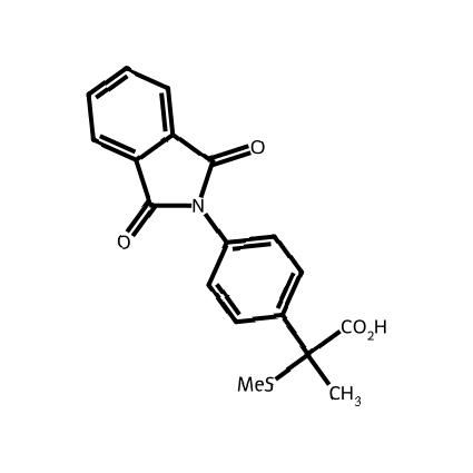 CSC(C)(C(=O)O)c1ccc(N2C(=O)c3ccccc3C2=O)cc1